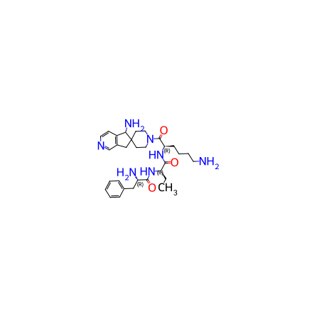 CC[C@@H](NC(=O)[C@H](N)Cc1ccccc1)C(=O)N[C@H](CCCCN)C(=O)N1CCC2(CC1)Cc1cnccc1C2N